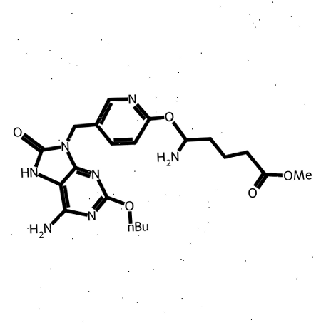 CCCCOc1nc(N)c2[nH]c(=O)n(Cc3ccc(OC(N)CCCC(=O)OC)nc3)c2n1